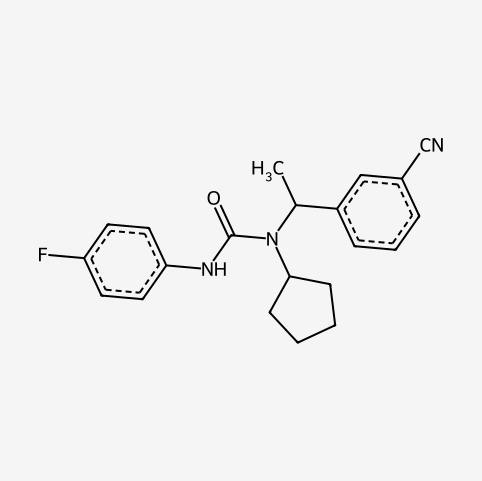 CC(c1cccc(C#N)c1)N(C(=O)Nc1ccc(F)cc1)C1CCCC1